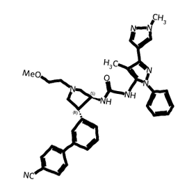 COCCN1C[C@@H](NC(=O)Nc2c(C)c(-c3cnn(C)c3)nn2-c2ccccc2)[C@H](c2cccc(-c3ccc(C#N)cc3)c2)C1